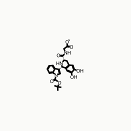 COC(=O)CNC(=O)[C@@H]1Cc2cc(O)c(O)cc2[C@H](c2cn(C(=O)OC(C)(C)C)c3ccccc23)N1